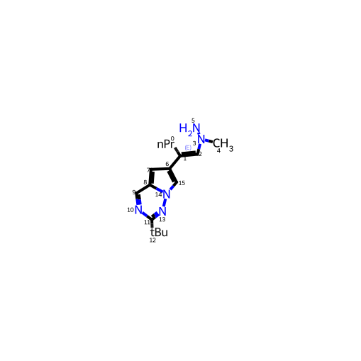 CCC/C(=C\N(C)N)c1cc2cnc(C(C)(C)C)nn2c1